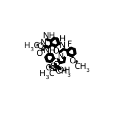 CCOc1ccc(F)c([C@@H](Nc2ccc3c(N)nccc3c2)C(=O)N2CC[C@H](C(=O)O)[C@@H]2c2cc(NC(=O)OC)ccc2S(=O)(=O)C(C)C)c1